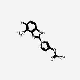 Cc1c(F)ccc2[nH]c(-n3cc(OC(=O)O)cn3)nc12